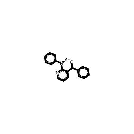 CC(=O)N(c1ccccc1)c1ncccc1C(=O)c1ccccc1